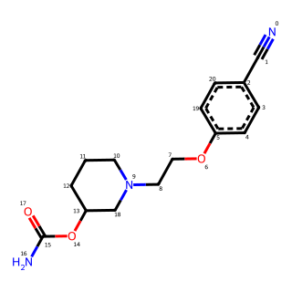 N#Cc1ccc(OCCN2CCCC(OC(N)=O)C2)cc1